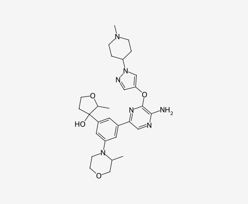 CC1COCCN1c1cc(-c2cnc(N)c(Oc3cnn(C4CCN(C)CC4)c3)n2)cc(C2(O)CCOC2C)c1